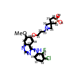 COc1cc2ncnc(Nc3cccc(Cl)c3F)c2cc1OCCCN1CC2(CCS(=O)(=O)C2)C1